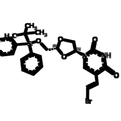 CC(C)(C)[Si](OC[C@@H]1OC[C@@H](n2cc(C=CBr)c(=O)[nH]c2=O)O1)(c1ccccc1)c1ccccc1